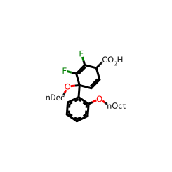 CCCCCCCCCCOC1(c2ccccc2OCCCCCCCC)C=CC(C(=O)O)C(F)=C1F